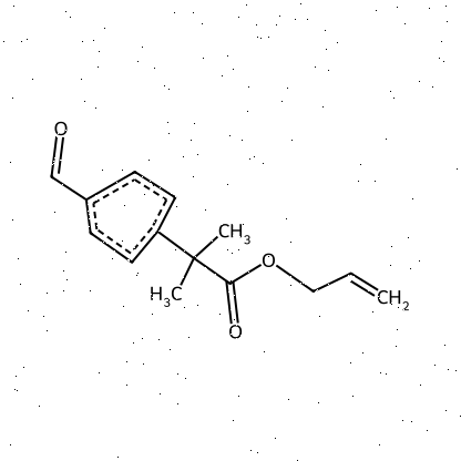 C=CCOC(=O)C(C)(C)c1ccc(C=O)cc1